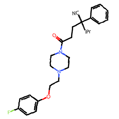 CC(C)C(C#N)(CCC(=O)N1CCN(CCOc2ccc(F)cc2)CC1)c1ccccc1